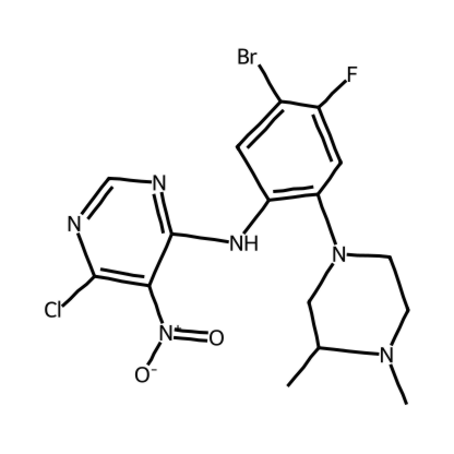 CC1CN(c2cc(F)c(Br)cc2Nc2ncnc(Cl)c2[N+](=O)[O-])CCN1C